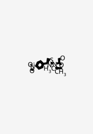 CC1(C)COC(C=O)N1c1nc(-c2ccc([N+](=O)[O-])cc2)cs1